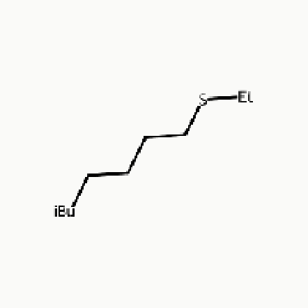 [CH2]C(CC)CCCCSCC